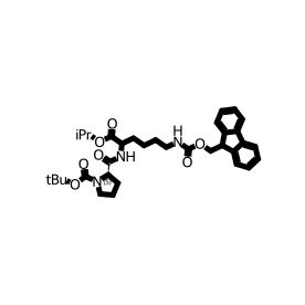 CC(C)OC(=O)C(CCCCNC(=O)OCC1c2ccccc2-c2ccccc21)NC(=O)[C@@H]1CCCN1C(=O)OC(C)(C)C